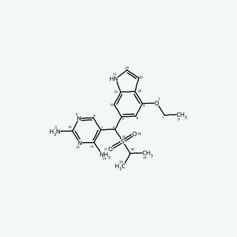 CCOc1cc(C(c2cnc(N)nc2N)S(=O)(=O)C(C)C)cc2[nH]ccc12